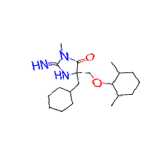 CC1CCCC(C)C1OCC1(CC2CCCCC2)NC(=N)N(C)C1=O